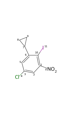 O=[N+]([O-])c1cc(Cl)cc(C2CC2)c1I